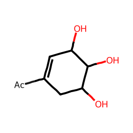 CC(=O)C1=CC(O)C(O)C(O)C1